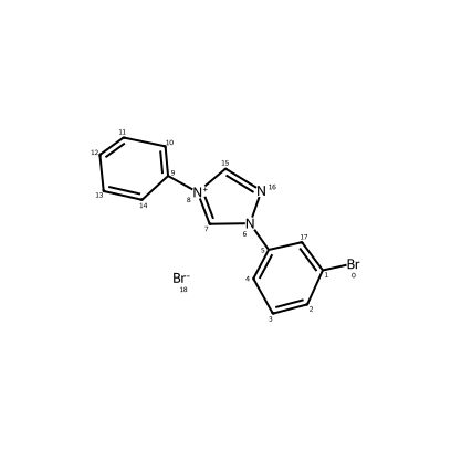 Brc1cccc(-n2c[n+](-c3ccccc3)cn2)c1.[Br-]